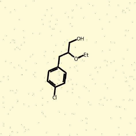 CCOC(CO)Cc1ccc(Cl)cc1